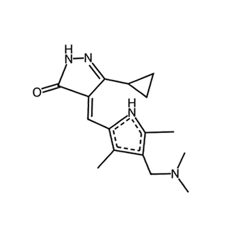 Cc1[nH]c(C=C2C(=O)NN=C2C2CC2)c(C)c1CN(C)C